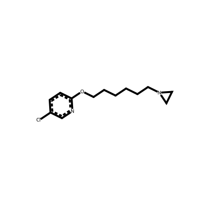 Clc1ccc(OCCCCCCN2CC2)nc1